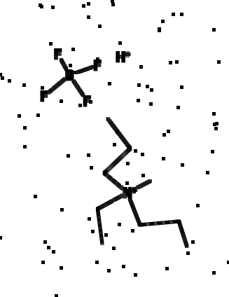 CCC[N+](C)(CC)CCC.F[B-](F)(F)F.[H+]